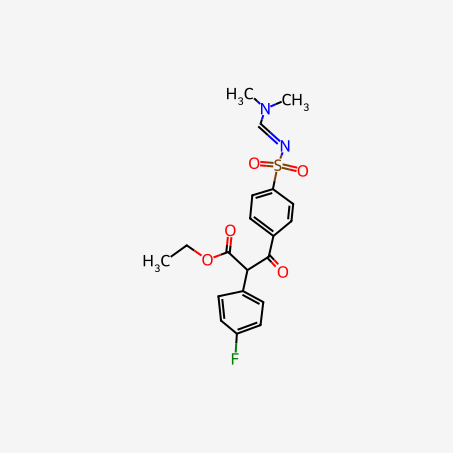 CCOC(=O)C(C(=O)c1ccc(S(=O)(=O)N=CN(C)C)cc1)c1ccc(F)cc1